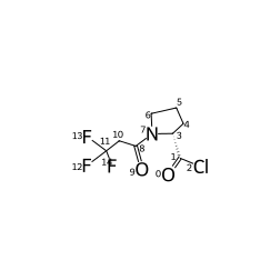 O=C(Cl)[C@H]1CCCN1C(=O)CC(F)(F)F